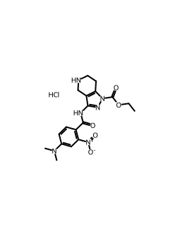 CCOC(=O)n1nc(NC(=O)c2ccc(N(C)C)cc2[N+](=O)[O-])c2c1CCNC2.Cl